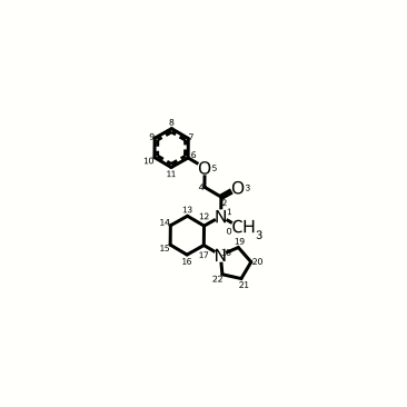 CN(C(=O)COc1ccccc1)C1CCCCC1N1CCCC1